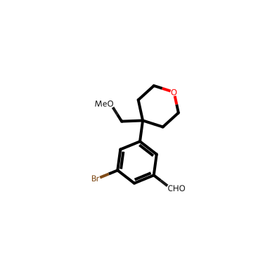 COCC1(c2cc(Br)cc(C=O)c2)CCOCC1